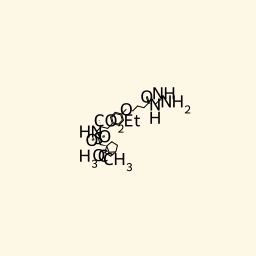 CCOC(=O)[C@H](Cc1ccc(OCCCC(=O)NC(=N)N)cc1)NS(=O)(=O)C[C@]12CCC(CC1=O)C2(C)C